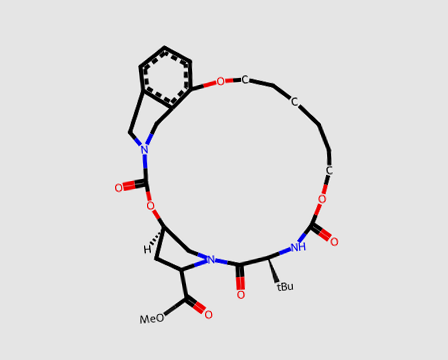 COC(=O)C1C[C@@H]2CN1C(=O)[C@H](C(C)(C)C)NC(=O)OCCCCCCOc1cccc3c1CN(C3)C(=O)O2